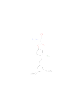 COc1cc(C=Cc2ccc(OC(=O)C(N)CO)cc2)cc(OC)c1.Cl